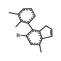 Cc1cccc(-c2c(Br)cc(C)c3c2CC=C3)c1C